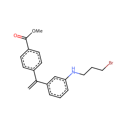 C=C(c1ccc(C(=O)OC)cc1)c1cccc(NCCCBr)c1